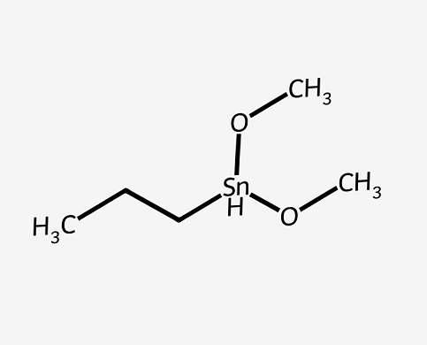 CC[CH2][SnH]([O]C)[O]C